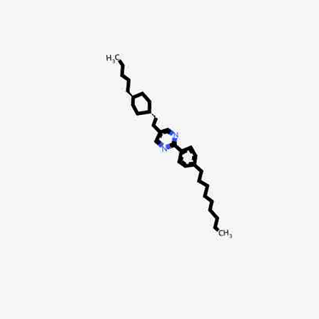 CCCCCCCCCc1ccc(-c2ncc(CC[C@H]3CC[C@H](CCCCC)CC3)cn2)cc1